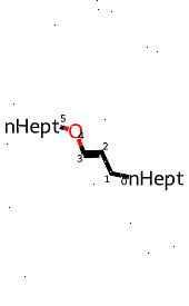 CCCCCCCCC=COCCCCCCC